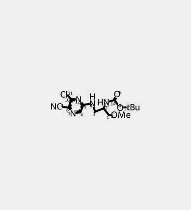 COCC(CNc1cnc(C#N)c(Cl)n1)NC(=O)OC(C)(C)C